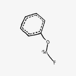 [F][Sn][O]c1ccccc1